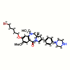 COc1cc2c(cc1OCCCCCBr)N(C(=O)O)C[C@@H]1CC(c3ccc(N4CCNCC4)cc3)=CN1C2=O